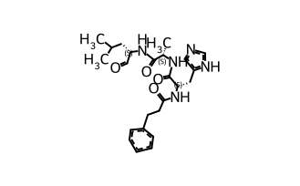 CC(C)C[C@@H](C=O)NC(=O)[C@H](C)NC(=O)[C@H](Cc1cnc[nH]1)NC(=O)CCc1ccccc1